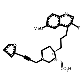 COc1ccc2ncc(F)c(CCC[C@@H]3CCN(CC#Cc4cccs4)C[C@H]3CC(=O)O)c2c1